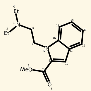 CCN(CC)CCn1c(C(=O)OC)cc2ccccc21